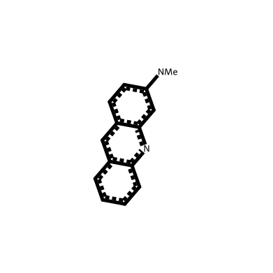 CNc1ccc2cc3ccccc3nc2c1